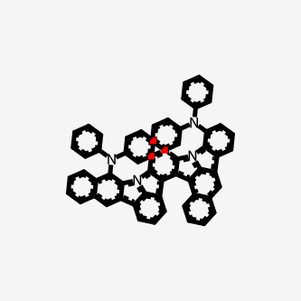 c1ccc(N(c2ccccc2)c2c3ccccc3cc3c4cccc5c6c7c8c9ccccc9cc9c%10cccc(N(c%11ccccc%11)c%11ccccc%11)c%10n(c7ncc6n(c23)c45)c98)cc1